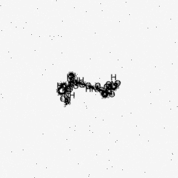 CC(C)(C)OC(=O)N[C@H]1CCCC[C@@H]2CC[C@@H](C(=O)N3CC(NC(=O)COCCOCCNC(=O)COc4cccc5c4C(=O)N(C4CCC(=O)NC4=O)C5=O)(c4ccccn4)C3)N2C1=O